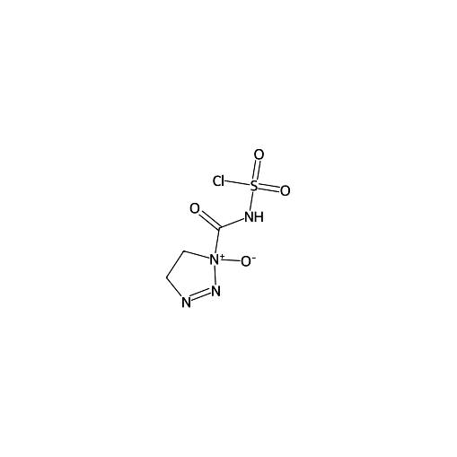 O=C(NS(=O)(=O)Cl)[N+]1([O-])CCN=N1